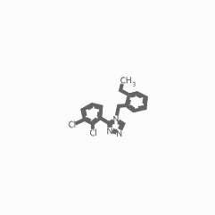 CCc1ccccc1Cn1cnnc1-c1cccc(Cl)c1Cl